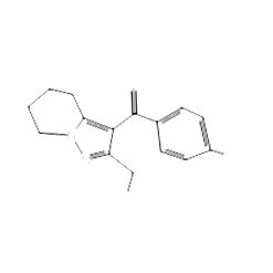 CCc1nn2c(c1C(=O)c1ccc(O)cc1)CCCC2